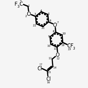 FC(F)(F)COc1ccc(Oc2ccc(OCC=C(Cl)Cl)c(C(F)(F)F)c2)cc1